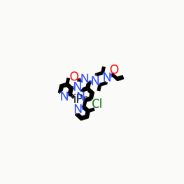 C=CC(=O)N1CC(C)N(c2nc(=O)n(-c3c(C)ccnc3C(C)C)c3nc(-c4ncccc4C)c(Cl)cc23)CC1C